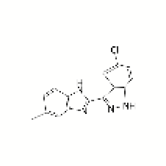 Cc1ccc2[nH]c(-c3n[nH]c4ccc(Cl)cc34)nc2c1